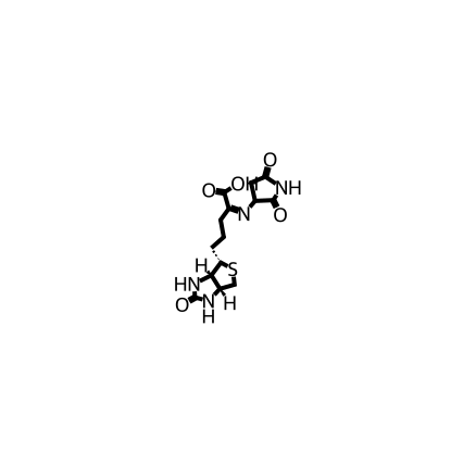 O=C1CC(N=C(CCC[C@@H]2SC[C@@H]3NC(=O)N[C@@H]32)C(=O)O)C(=O)N1